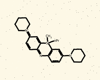 CCC[Si]1(C)C2=CC(=[N+]3CCCCC3)C=CC2=Nc2ccc(N3CCCCC3)cc21